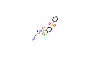 N#CCCNS(=O)(=O)c1cc(S(=O)(=O)c2ccccc2)ccc1Cl